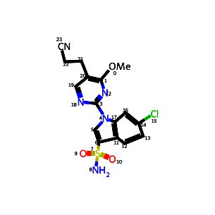 COc1nc(-n2cc(S(N)(=O)=O)c3ccc(Cl)cc32)ncc1CCC#N